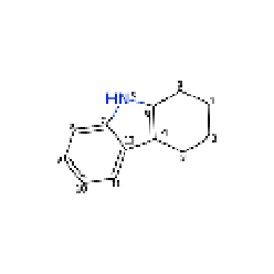 [C]1CCCc2c1[nH]c1ccccc21